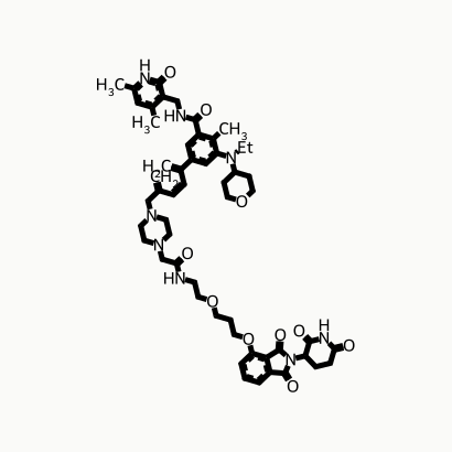 C=C(/C=C\C(=C)c1cc(C(=O)NCc2c(C)cc(C)[nH]c2=O)c(C)c(N(CC)C2CCOCC2)c1)CN1CCN(CC(=O)NCCOCCCOc2cccc3c2C(=O)N(C2CCC(=O)NC2=O)C3=O)CC1